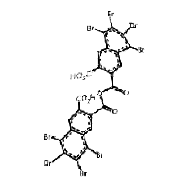 O=C(O)c1cc2c(Br)c(Br)c(Br)c(Br)c2cc1C(=O)OC(=O)c1cc2c(Br)c(Br)c(Br)c(Br)c2cc1C(=O)O